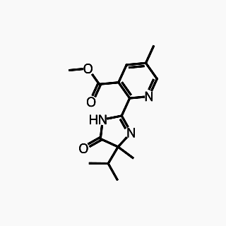 COC(=O)c1cc(C)cnc1C1=NC(C)(C(C)C)C(=O)N1